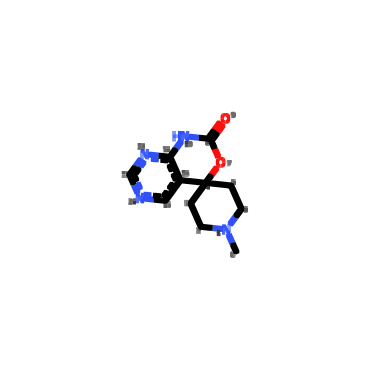 CN1CCC2(CC1)OC(=O)Nc1ncncc12